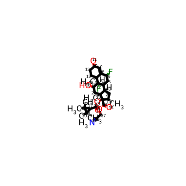 CC1C[C@H]2[C@@H]3CC(F)C4=CC(=O)CC[C@]4(C)[C@]3(F)C(O)C[C@]2(C)C1(OC(=O)C1C(C)(C)C1(C)C)C(=O)OCC#N